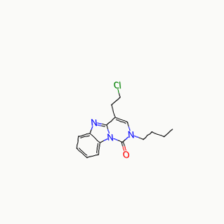 CCCCn1cc(CCCl)c2nc3ccccc3n2c1=O